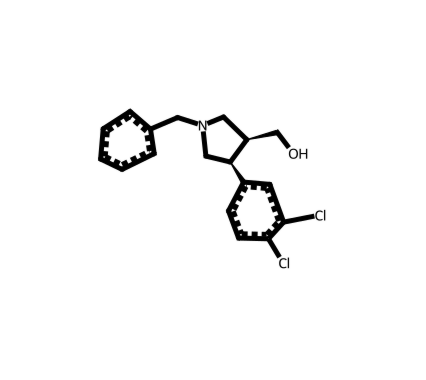 OC[C@@H]1CN(Cc2ccccc2)C[C@@H]1c1ccc(Cl)c(Cl)c1